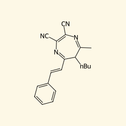 CCCCC1C(C)=NC(C#N)=C(C#N)N=C1C=Cc1ccccc1